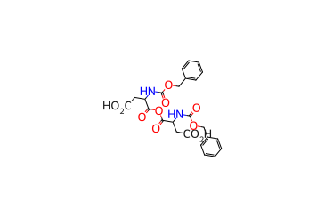 O=C(O)CC(NC(=O)OCc1ccccc1)C(=O)OC(=O)C(CC(=O)O)NC(=O)OCc1ccccc1